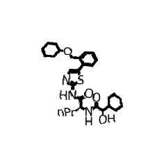 CCC[C@H](NC(=O)[C@H](O)C1CCCCC1)C(=O)Nc1ncc(-c2ccccc2COC2CCCCC2)s1